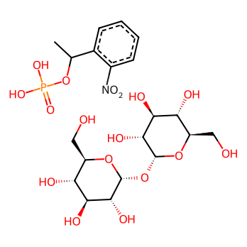 CC(OP(=O)(O)O)c1ccccc1[N+](=O)[O-].OC[C@H]1O[C@H](O[C@H]2O[C@H](CO)[C@@H](O)[C@H](O)[C@H]2O)[C@H](O)[C@@H](O)[C@@H]1O